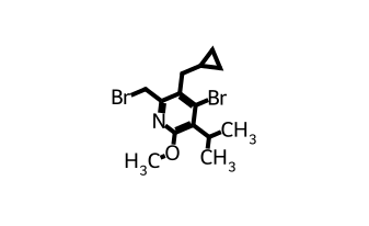 COc1nc(CBr)c(CC2CC2)c(Br)c1C(C)C